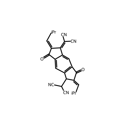 CC(C)/C=C1/C(=O)c2cc3c(cc2C1=C(C#N)C#N)C(=O)/C(=C/C(C)C)C3C(C#N)C#N